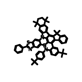 CC(C)(C)c1ccc(N2B3c4cc5nc(-c6ccccc6)sc5cc4-n4c5cc6c(cc5c5c7c(c(c3c54)-c3cc(C(C)(C)C)ccc32)-c2ccccc2C7(C)C)C(C)(C)CCC6(C)C)cc1